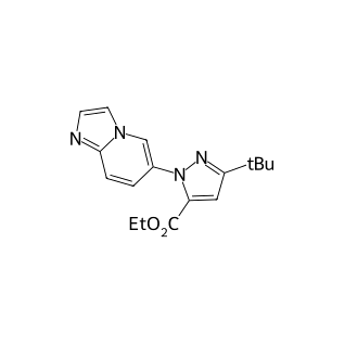 CCOC(=O)c1cc(C(C)(C)C)nn1-c1ccc2nccn2c1